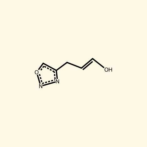 OC=CCc1conn1